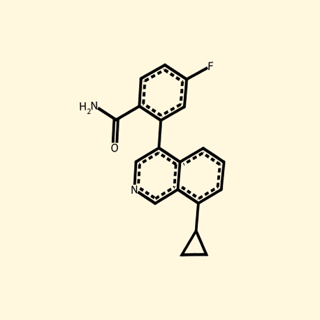 NC(=O)c1ccc(F)cc1-c1cncc2c(C3CC3)cccc12